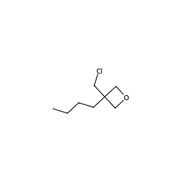 CCCCC1(CCl)COC1